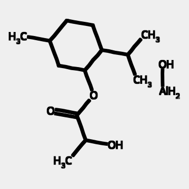 CC1CCC(C(C)C)C(OC(=O)C(C)O)C1.[OH][AlH2]